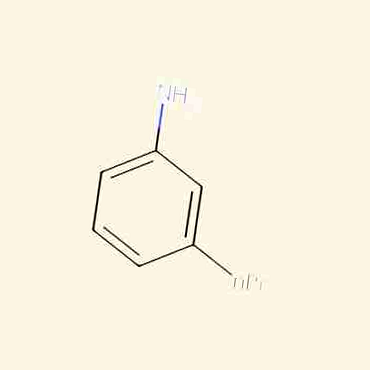 CCCc1c[c]cc(N)c1